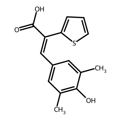 Cc1cc(/C=C(/C(=O)O)c2cccs2)cc(C)c1O